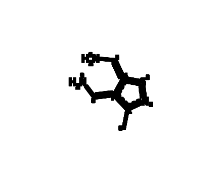 Cc1nsc(=C/N)/c1=C\N